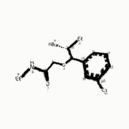 CCCC[C@H](CC)C(OCC(=O)NCC)c1cccc(Cl)c1